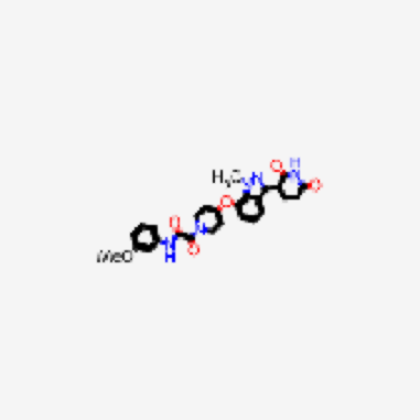 COc1cccc(NC(=O)C(=O)N2CCC(Oc3cccc4c(C5CCC(=O)NC5=O)nn(C)c34)CC2)c1